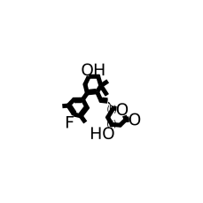 Cc1cc(C2=C(C=C[C@H]3C[C@H](O)CC(=O)O3)C(C)(C)CC(O)C2)cc(C)c1F